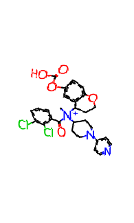 C[N+](C(=O)c1cccc(Cl)c1Cl)(C1CCN(c2ccncc2)CC1)C1CCOc2ccc(OC(=O)O)cc21